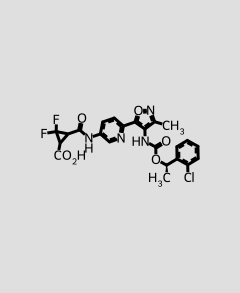 Cc1noc(-c2ccc(NC(=O)C3C(C(=O)O)C3(F)F)cn2)c1NC(=O)O[C@H](C)c1ccccc1Cl